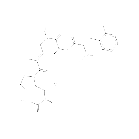 COC(=O)[C@H](C)[C@@H](OC)[C@@H]1CCCN1C(=O)/C(C)=C/[C@H](C(C)C)N(C)C(=O)[C@@H](NC(=O)[C@H](Cc1ccccc1C)N(C)C)C(C)(C)C